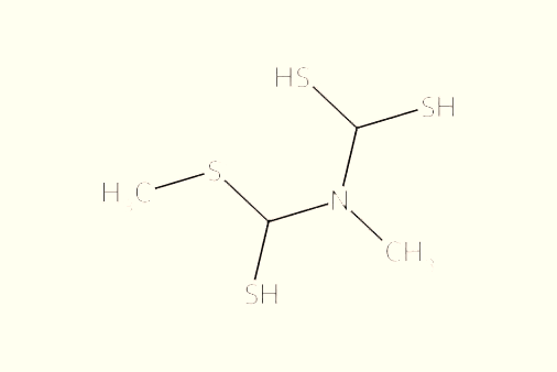 CSC(S)N(C)C(S)S